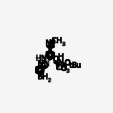 Bc1ccc2nc(Nc3cc(OC[C@H](C)NC(=O)OC(C)(C)C)cc(-c4cnn(C)c4)c3)ncc2c1